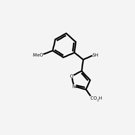 COc1cccc(C(S)c2cc(C(=O)O)no2)c1